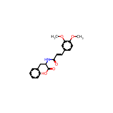 COc1ccc(/C=C/C(=O)NC(Cc2ccccc2)C(=O)O)cc1OC